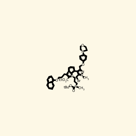 CCOC(=O)c1c(CCCOc2cccc3ccccc23)c2cccc(-c3c(COc4ccc(N5CCOCC5)cc4)nn(C)c3CBr)c2n1CCCN(C)C(=O)OC(C)(C)C